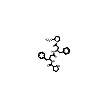 O=C(CC(Cc1ccccc1)NC(=O)C1CCCN1)NC(CC(=O)N1CCCC1C(=O)O)Cc1ccccc1